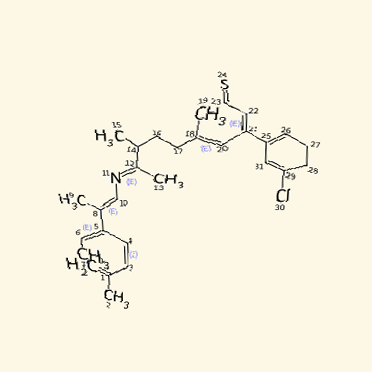 C=C(C)\C=C/C(=C\C)C(/C)=C/N=C(\C)C(C)CC/C(C)=C/C(=C\C=S)C1=CCCC(Cl)=C1